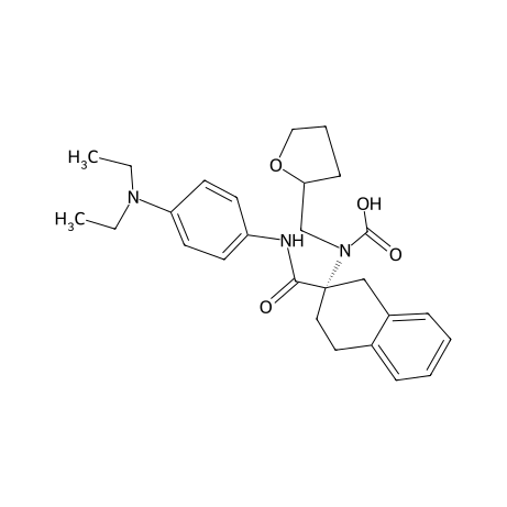 CCN(CC)c1ccc(NC(=O)[C@]2(N(CC3CCCO3)C(=O)O)CCc3ccccc3C2)cc1